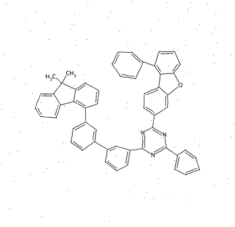 CC1(C)c2ccccc2-c2c(-c3cccc(-c4cccc(-c5nc(-c6ccccc6)nc(-c6ccc7c(c6)oc6cccc(-c8ccccc8)c67)n5)c4)c3)cccc21